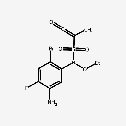 CCON(c1cc(N)c(F)cc1Br)S(=O)(=O)C(C)=C=O